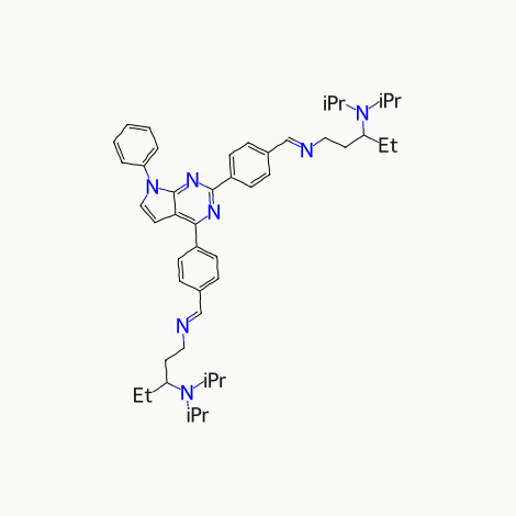 CCC(CCN=Cc1ccc(-c2nc(-c3ccc(C=NCCC(CC)N(C(C)C)C(C)C)cc3)c3ccn(-c4ccccc4)c3n2)cc1)N(C(C)C)C(C)C